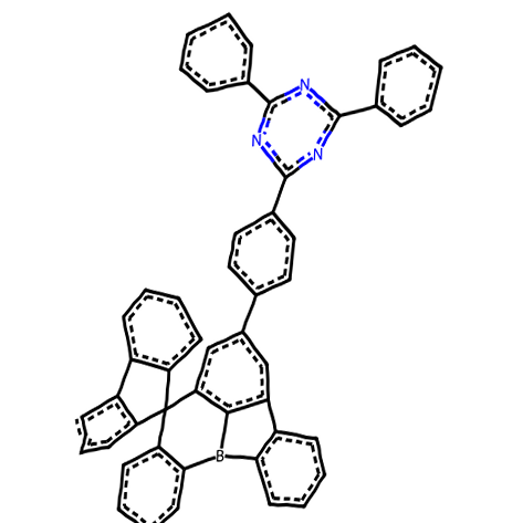 c1ccc(-c2nc(-c3ccccc3)nc(-c3ccc(-c4cc5c6c(c4)C4(c7ccccc7B6c6ccccc6-5)c5ccccc5-c5ccccc54)cc3)n2)cc1